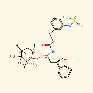 CC1(C)[C@@H]2C[C@H]3OB([C@H](Cc4coc5ccccc45)NC(=O)CCc4cccc(N=S(C)(C)=O)c4)O[C@@]3(C)[C@H]1C2